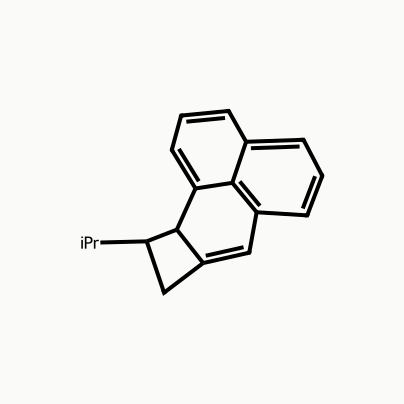 CC(C)C1CC2=Cc3cccc4cccc(c34)C21